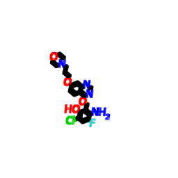 Nc1c(F)cc(Cl)c(O)c1COc1ncnc2cc(OCCCN3CCOCC3)ccc12